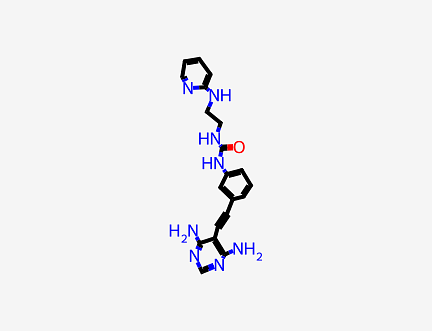 Nc1ncnc(N)c1C#Cc1cccc(NC(=O)NCCNc2ccccn2)c1